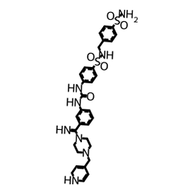 N=C(c1cccc(NC(=O)Nc2ccc(S(=O)(=O)NCc3ccc(S(N)(=O)=O)cc3)cc2)c1)N1CCN(CC2=CCNC=C2)CC1